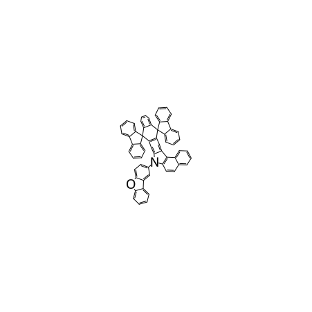 c1ccc2c(c1)-c1ccccc1C21c2ccccc2C2(c3ccccc3-c3ccccc32)c2cc3c(cc21)c1c2ccccc2ccc1n3-c1ccc2oc3ccccc3c2c1